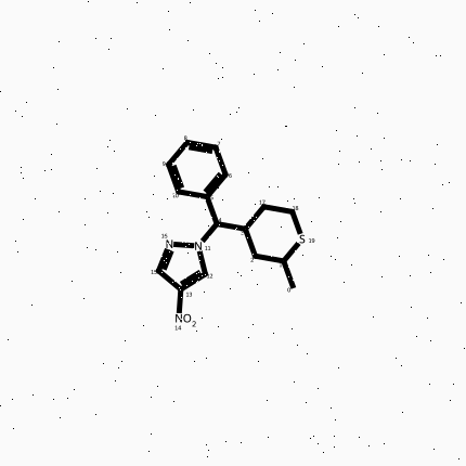 CC1CC(C(c2ccccc2)n2cc([N+](=O)[O-])cn2)CCS1